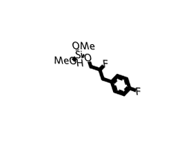 CO[SiH](OC)OCC(F)Cc1ccc(F)cc1